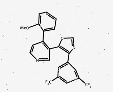 COc1ccccc1-c1ccncc1-c1ocnc1-c1cc(C(F)(F)F)cc(C(F)(F)F)c1